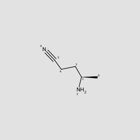 C[C@@H](N)CCC#N